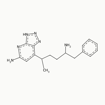 CC(CCC(N)Cc1ccccc1)c1cc(N)nc2[nH]nnc12